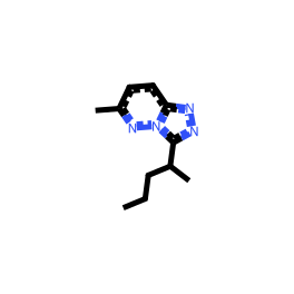 CCCC(C)c1nnc2ccc(C)nn12